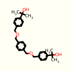 CC(C)(O)c1ccc(COCc2ccc(COCc3ccc(C(C)(C)O)cc3)cc2)cc1